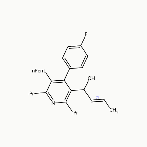 C/C=C/C(O)c1c(C(C)C)nc(C(C)C)c(CCCCC)c1-c1ccc(F)cc1